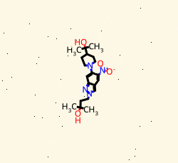 CC(C)(O)CCn1cc2cc([N+](=O)[O-])c(N3CCC(C(C)(C)O)CC3)cc2n1